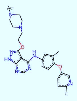 CC(=O)N1CCN(CCOc2n[nH]c3ncnc(Nc4ccc(Oc5ccc(C)nc5)c(C)c4)c23)CC1